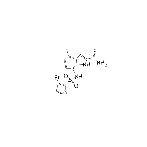 CCc1ccsc1S(=O)(=O)Nc1ccc(C)c2cc(C(N)=S)[nH]c12